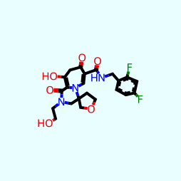 O=C1CC(O)=C2C(=O)N(CCO)CC3(CCOC3)N2C=C1C(=O)NCc1ccc(F)cc1F